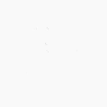 CP(C)(=O)c1ccc2c(c1)c(CN)nn2-c1ccc(C(F)(F)F)cc1.Cl